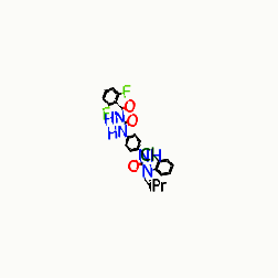 CC(C)CN(C(=O)Nc1ccc(NC(=O)NC(=O)c2c(F)cccc2F)cc1)c1ccccc1Cl